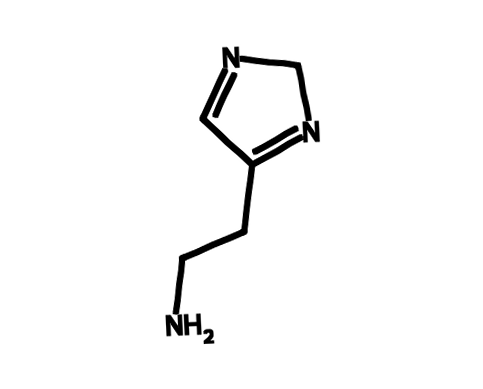 NCCC1=NCN=C1